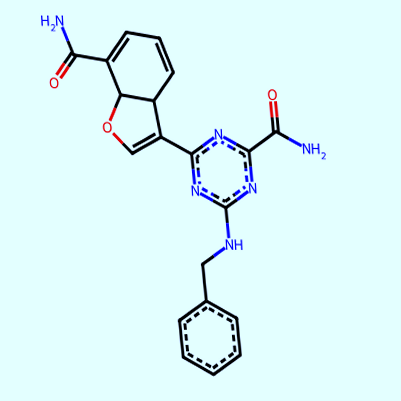 NC(=O)C1=CC=CC2C(c3nc(NCc4ccccc4)nc(C(N)=O)n3)=COC12